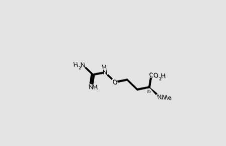 CN[C@@H](CCONC(=N)N)C(=O)O